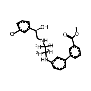 [2H]C([2H])(NC[C@H](O)c1cccc(Cl)c1)C([2H])([2H])Nc1cccc(-c2cccc(C(=O)OC)c2)c1